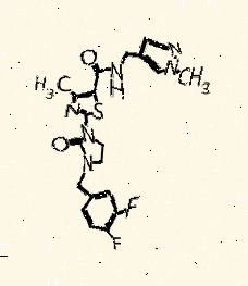 Cc1nc(N2CCN(Cc3ccc(F)c(F)c3)C2=O)sc1C(=O)NCc1cnn(C)c1